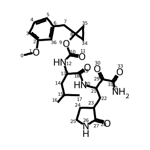 COc1cccc(CC2(OC(=O)NC(CC(C)C)C(=O)NC(CC3CCNC3=O)C(=O)C(N)=O)CC2)c1